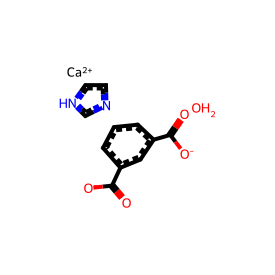 O.O=C([O-])c1cccc(C(=O)[O-])c1.[Ca+2].c1c[nH]cn1